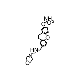 NC(=O)Oc1ccc2c(c1)CCc1cc(CNCCN3CCOCC3)ccc1O2